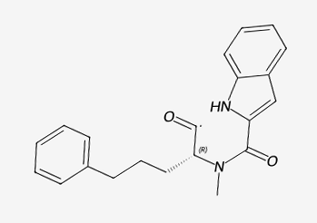 CN(C(=O)c1cc2ccccc2[nH]1)[C@@H]([C]=O)CCCc1ccccc1